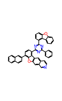 c1ccc(-c2nc(-c3cccc4oc5ccccc5c34)nc(-c3ccc(-c4ccc5ccccc5c4)c4oc5cc6cnccc6cc5c34)n2)cc1